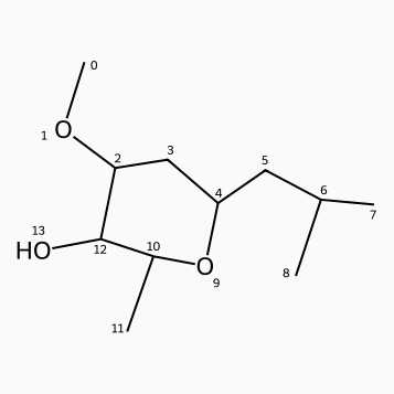 COC1CC(CC(C)C)OC(C)C1O